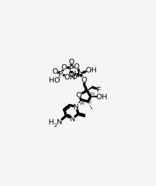 C=C1N=C(N)C=CN1[C@@H]1O[C@](CF)(COP(=O)(O)OP(=O)(O)OP(=O)(O)O)[C@@H](O)[C@@H]1C